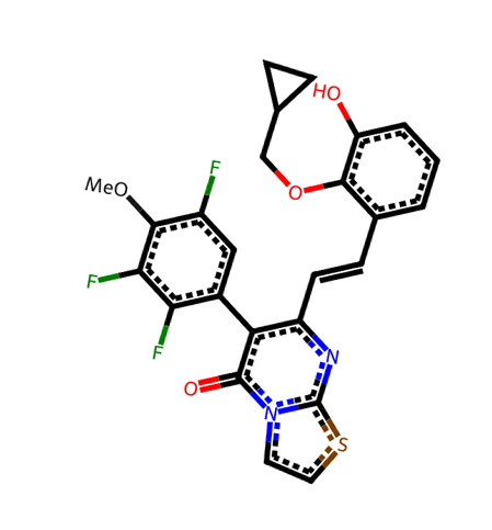 COc1c(F)cc(-c2c(C=Cc3cccc(O)c3OCC3CC3)nc3sccn3c2=O)c(F)c1F